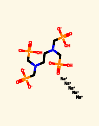 O=P([O-])([O-])CN(CCN(CP(=O)([O-])O)CP(=O)([O-])O)CP(=O)([O-])O.[Na+].[Na+].[Na+].[Na+].[Na+]